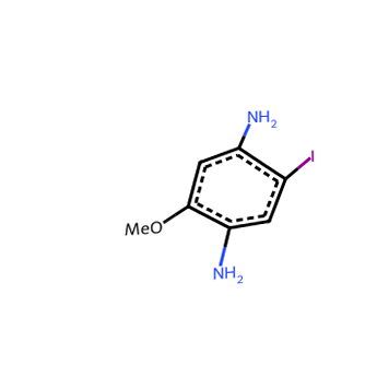 COc1cc(N)c(I)cc1N